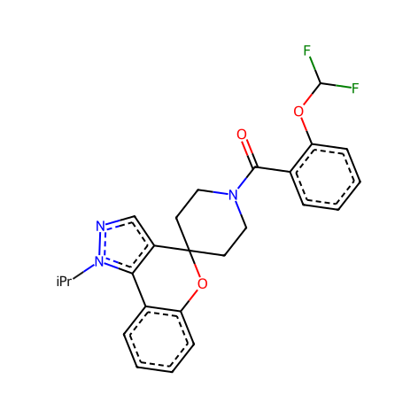 CC(C)n1ncc2c1-c1ccccc1OC21CCN(C(=O)c2ccccc2OC(F)F)CC1